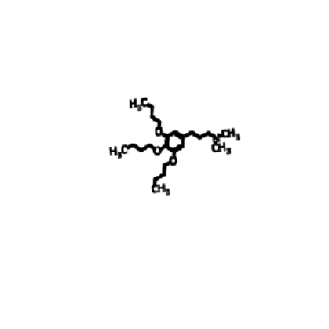 CCCCOc1cc(CCCN(C)C)cc(OCCCC)c1OCCCC